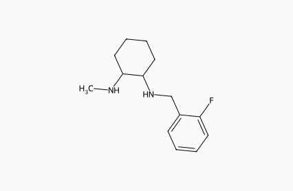 CNC1CCCCC1NCc1ccccc1F